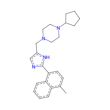 Cc1ccc(-c2ncc(CN3CCN(C4CCCC4)CC3)[nH]2)c2ccccc12